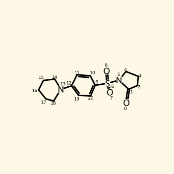 O=C1CCCN1S(=O)(=O)c1ccc(N2CCCCC2)cc1